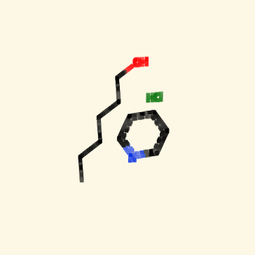 CCCCCCO.Cl.c1ccncc1